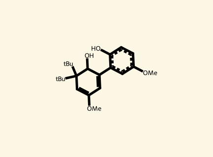 COC1=CC(C(C)(C)C)(C(C)(C)C)C(O)C(c2cc(OC)ccc2O)=C1